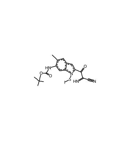 Cc1cc2cc(C(=O)C(=N)C#N)n(SI)c2cc1NC(=O)OC(C)(C)C